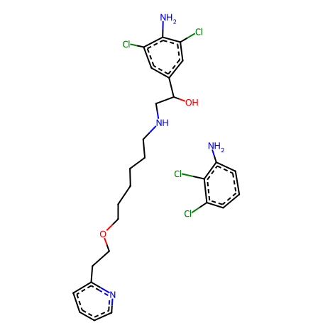 Nc1c(Cl)cc(C(O)CNCCCCCCOCCc2ccccn2)cc1Cl.Nc1cccc(Cl)c1Cl